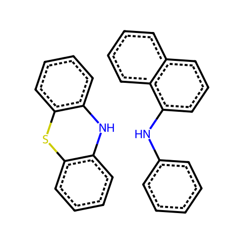 c1ccc(Nc2cccc3ccccc23)cc1.c1ccc2c(c1)Nc1ccccc1S2